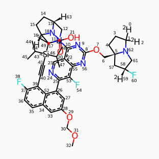 [2H]C1([2H])CC[C@@]2(COc3nc(N4C[C@H]5CC[C@@H](C4)N5C(=O)O)c4cnc(-c5cc(OCOC)cc6ccc(F)c(C#C[Si](C(C)C)(C(C)C)C(C)C)c56)c(F)c4n3)C[C@@]([2H])(F)CN12